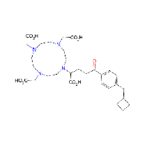 O=C(O)CN1CCN(CC(=O)O)CCN(C(CCC(=O)c2ccc(CC3CCC3)cc2)C(=O)O)CCN(CC(=O)O)CC1